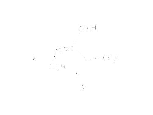 O=C(O)C=C(CC(=O)O)C(=O)O.[K].[K].[K]